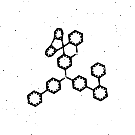 c1ccc(-c2ccc(N(c3ccc(-c4ccccc4-c4ccccc4)cc3)c3ccc4c(c3)Oc3ccccc3C43c4ccccc4-c4ccccc43)cc2)cc1